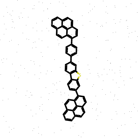 c1cc2ccc3ccc(-c4ccc(-c5ccc6c(c5)sc5cc(-c7ccc8ccc9cccc%10ccc7c8c9%10)ccc56)cc4)c4ccc(c1)c2c34